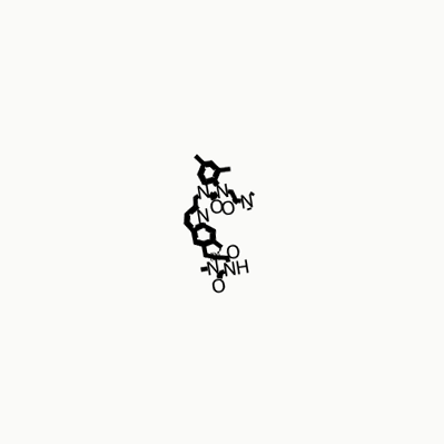 Cc1cc(C)c2c(c1)n(Cc1ccc3cc4c(cc3n1)C[C@]1(C4)C(=O)NC(=O)N1C)c(=O)n2CC(=O)N(C)C